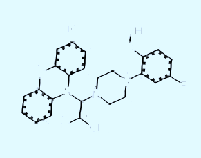 COc1ccc(F)cc1N1CCN(C(C(C)O)N2c3ccccc3Oc3ccccc32)CC1.Cl